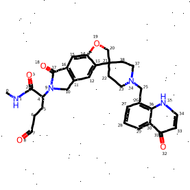 CNC(=O)C(CCC=O)N1Cc2cc3c(cc2C1=O)OCC31CCN(Cc2cccc3c(=O)cc[nH]c23)CC1